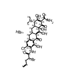 Br.C=CCC(Br)C(=O)Nc1c(Cl)cc2c(c1O)C(=O)C1=C(O)C3(O)C(=O)C(C(N)=O)=C(O)[C@@H](N(C)C)C3CC1C2